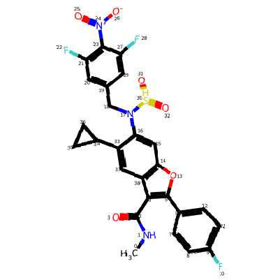 CNC(=O)c1c(-c2ccc(F)cc2)oc2cc(N(Cc3cc(F)c([N+](=O)[O-])c(F)c3)[SH](=O)=O)c(C3CC3)cc12